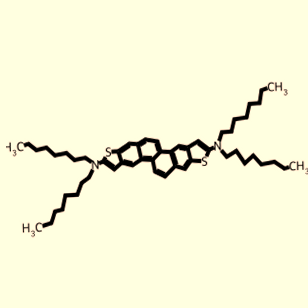 CCCCCCCCN(CCCCCCCC)c1cc2cc3c(ccc4c5cc6cc(N(CCCCCCCC)CCCCCCCC)sc6cc5ccc34)cc2s1